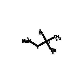 CCC(C)C(C)(CC)CNC